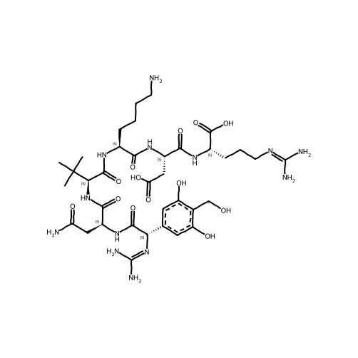 CC(C)(C)[C@H](NC(=O)[C@H](CC(N)=O)NC(=O)[C@@H](N=C(N)N)c1cc(O)c(CO)c(O)c1)C(=O)N[C@@H](CCCCN)C(=O)N[C@@H](CC(=O)O)C(=O)N[C@@H](CCCN=C(N)N)C(=O)O